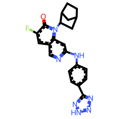 O=c1c(F)cc2cnc(Nc3ccc(-c4nn[nH]n4)cc3)cc2n1C1CC2CCC1C2